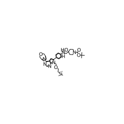 CC(C)(C)OC(=O)N1CCC(O)(CNc2ccc(-c3cc4c(N5C6CCC5COC6)ncnc4n3COCC[Si](C)(C)C)cc2)CC1